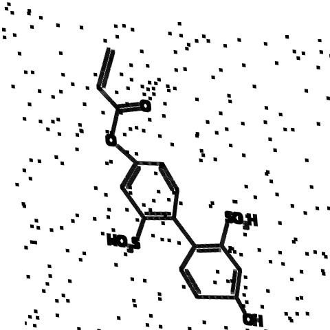 C=CC(=O)Oc1ccc(-c2ccc(O)cc2S(=O)(=O)O)c(S(=O)(=O)O)c1